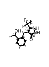 CC(O)c1ccccc1Cc1c(C(F)(F)F)[nH][nH]c1=O